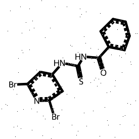 O=C(NC(=S)Nc1cc(Br)nc(Br)c1)c1ccccc1